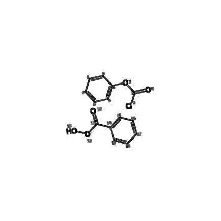 O=C(Cl)Oc1ccccc1.O=C(OO)c1ccccc1